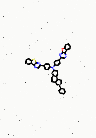 c1ccc(-c2ccc3c(ccc4cc(N(c5ccc(-c6cnc7c(n6)oc6ccccc67)cc5)c5ccc(-c6cnc7c(n6)sc6ccccc67)cc5)ccc43)c2)cc1